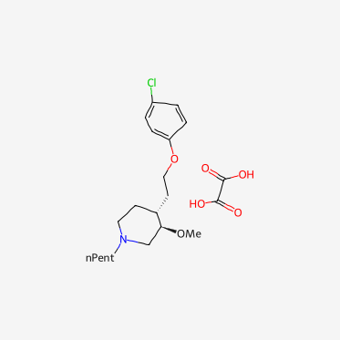 CCCCCN1CC[C@H](CCOc2ccc(Cl)cc2)[C@@H](OC)C1.O=C(O)C(=O)O